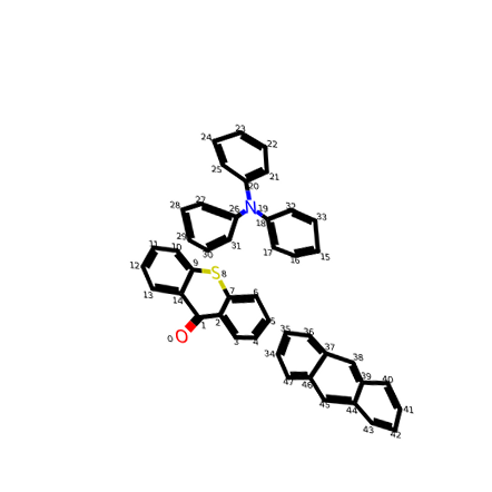 O=c1c2ccccc2sc2ccccc12.c1ccc(N(c2ccccc2)c2ccccc2)cc1.c1ccc2cc3ccccc3cc2c1